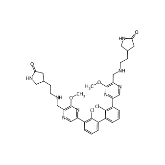 COc1nc(-c2cccc(-c3cccc(-c4cnc(CNCCC5CNC(=O)C5)c(OC)n4)c3Cl)c2Cl)cnc1CNCCC1CNC(=O)C1